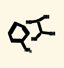 Nc1ccccc1.OP(O)P(O)O